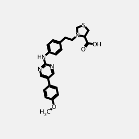 COc1ccc(-c2cnc(Nc3ccc(CCN4CSCC4C(=O)O)cc3)nc2)cc1